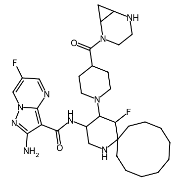 Nc1nn2cc(F)cnc2c1C(=O)NC1CNC2(CCCCCCCCC2)C(F)C1N1CCC(C(=O)N2CCNC3CC32)CC1